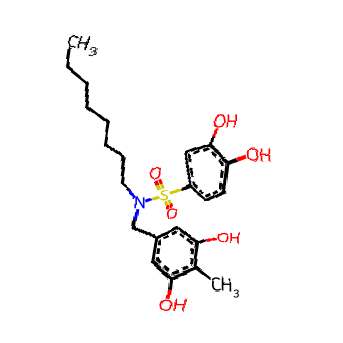 CCCCCCCCN(Cc1cc(O)c(C)c(O)c1)S(=O)(=O)c1ccc(O)c(O)c1